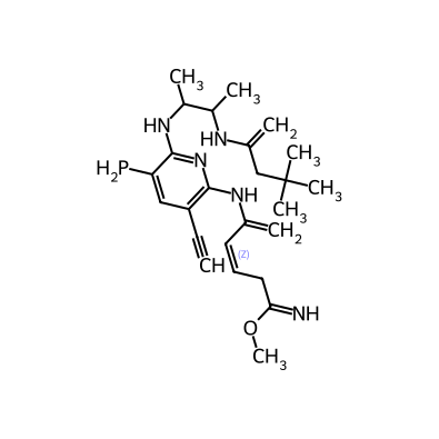 C#Cc1cc(P)c(NC(C)C(C)NC(=C)CC(C)(C)C)nc1NC(=C)/C=C\CC(=N)OC